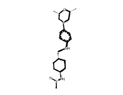 C[C@@H]1CN(c2ccc(NC[C@H]3CC[C@H](N[S+](C)[O-])CC3)cc2)C[C@H](C)O1